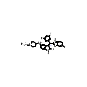 CCN1CCC(Nc2ccc3c(c2)/C(=C(\c2cc(F)cc(F)c2)c2nc4cc(F)ccc4[nH]2)C(=O)N3)CC1